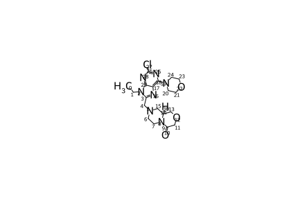 CCn1c(CN2CCN3C(=O)COC[C@H]3C2)nc2c(N3CCOCC3)nc(Cl)nc21